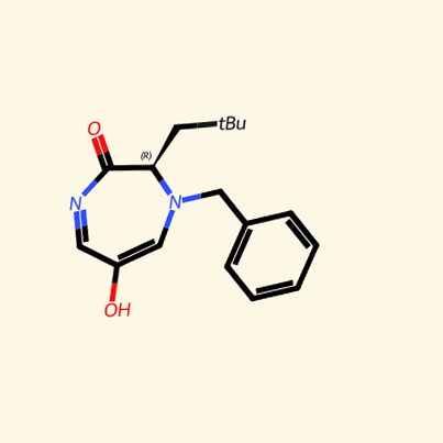 CC(C)(C)C[C@@H]1C(=O)N=CC(O)=CN1Cc1ccccc1